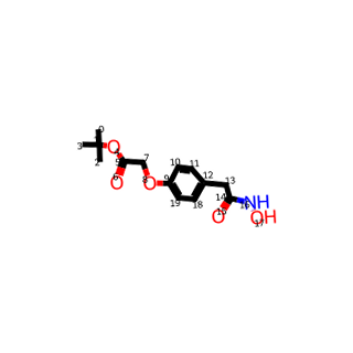 CC(C)(C)OC(=O)COc1ccc(CC(=O)NO)cc1